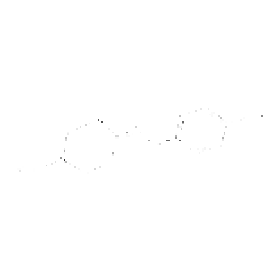 N#Cc1ccc(ON=C2CCN(C(=O)O)CC2)cc1